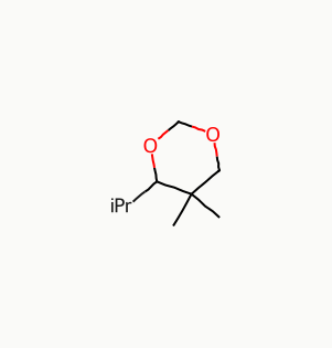 CC(C)C1OCOCC1(C)C